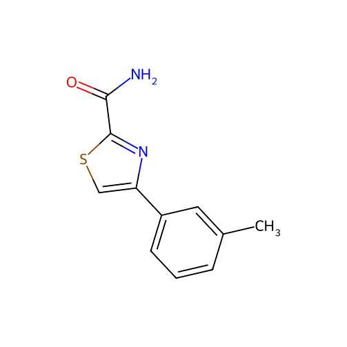 Cc1cccc(-c2csc(C(N)=O)n2)c1